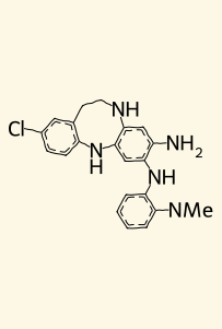 CNc1ccccc1Nc1cc2c(cc1N)NCCc1cc(Cl)ccc1N2